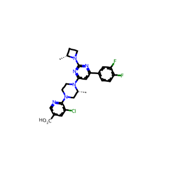 C[C@@H]1CN(c2ncc(C(=O)O)cc2Cl)CCN1c1cc(-c2ccc(F)c(F)c2)nc(N2CC[C@H]2C)n1